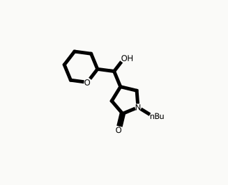 CCCCN1CC(C(O)C2CCCCO2)CC1=O